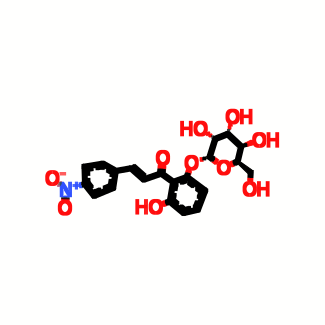 O=C(/C=C/c1ccc([N+](=O)[O-])cc1)c1c(O)cccc1O[C@H]1O[C@H](CO)[C@H](O)[C@@H](O)[C@H]1O